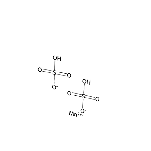 O=S(=O)([O-])O.O=S(=O)([O-])O.[Mn+2]